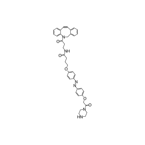 O=C(CCCOc1ccc(N=Nc2ccc(OCC(=O)N3CCNCC3)cc2)cc1)NCCC(=O)N1Cc2ccccc2C#Cc2ccccc21